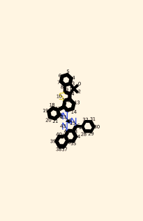 CC1(C)c2ccccc2-c2sc3c(ccc4c3c3ccccc3n4-c3nc(C4C=CC=CC4)c4ccc5c#cccc5c4n3)c21